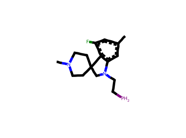 Cc1cc(F)c2c(c1)N(CCP)CC21CCN(C)CC1